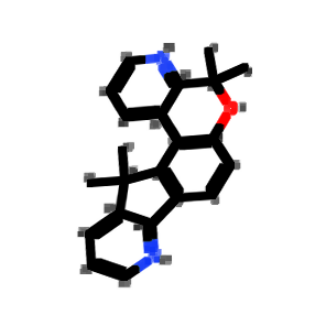 CC1(C)Oc2ccc3c(c2-c2cccnc21)C(C)(C)c1cccnc1-3